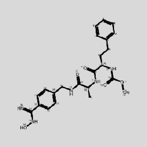 C[C@H](NC(=O)[C@@H](CCc1ccccc1)NC(=O)OC(C)(C)C)C(=O)NCc1ccc(C(=N)NO)cc1